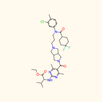 CCOC(=O)C(Nc1nc(C)c(C(=O)N2CC3CN(CCCN(C(=O)C4CCC(F)(F)CC4)c4ccc(C)c(Cl)c4)CC3C2)c(C)n1)C(C)C